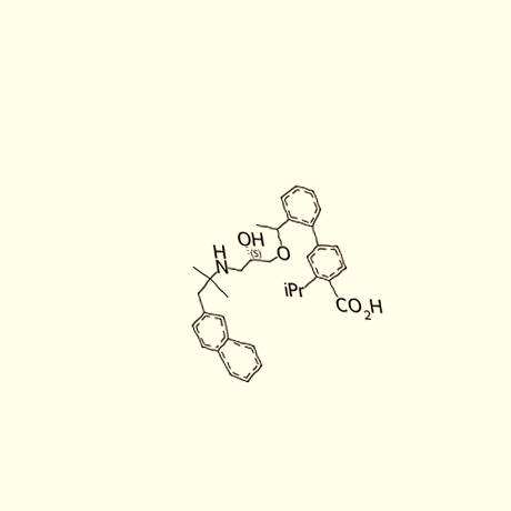 CC(C)c1cc(-c2ccccc2C(C)OC[C@@H](O)CNC(C)(C)Cc2ccc3ccccc3c2)ccc1C(=O)O